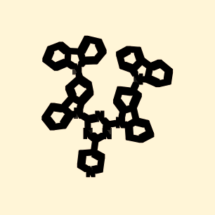 c1ccc2c(c1)c1ccccc1n2-c1ccc2c(c1)c1ccccc1n2-c1nc(-c2ccncc2)nc(-n2c3ccccc3c3cc(-n4c5ccccc5c5ccccc54)ccc32)n1